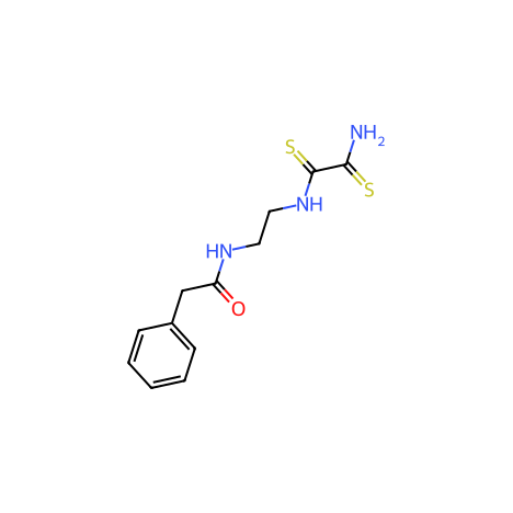 NC(=S)C(=S)NCCNC(=O)Cc1ccccc1